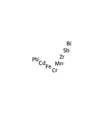 [Bi].[Cd].[Cr].[Fe].[Mn].[Pb].[Sb].[Zr]